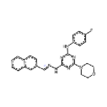 Fc1ccc(Nc2nc(N/N=C/c3ccc4ccccc4c3)nc(N3CCOCC3)n2)cc1